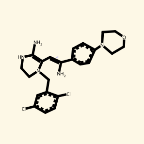 NC1=C(/C=C(\N)c2ccc(N3CCOCC3)cc2)N(Cc2cc(Cl)ccc2Cl)CCN1